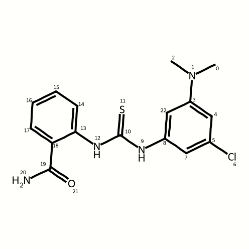 CN(C)c1cc(Cl)cc(NC(=S)Nc2ccccc2C(N)=O)c1